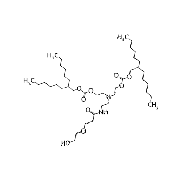 CCCCCCC(CCCCCC)COC(=O)OCCN(CCNC(=O)CCOCCO)CCOC(=O)OCC(CCCCCC)CCCCCC